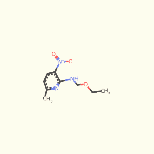 CCOCNc1nc(C)ccc1[N+](=O)[O-]